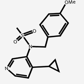 COc1ccc(CN(c2cnccc2C2CC2)S(C)(=O)=O)cc1